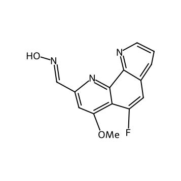 COc1cc(C=NO)nc2c1c(F)cc1cccnc12